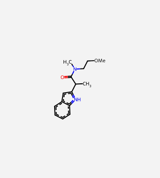 COCCN(C)C(=O)[C](C)c1cc2ccccc2[nH]1